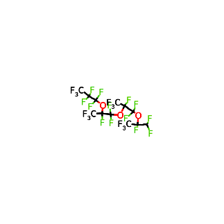 FC(F)C(F)(OC(F)(F)C(F)(OC(F)(F)C(F)(OC(F)(F)C(F)(F)C(F)(F)F)C(F)(F)F)C(F)(F)F)C(F)(F)F